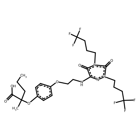 CCCC(C)(Oc1ccc(OCCNc2nn(CCCC(F)(F)F)c(=O)n(CCCC(F)(F)F)c2=O)cc1)C(=O)O